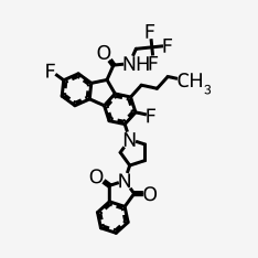 CCCCc1c(F)c(N2CCC(N3C(=O)c4ccccc4C3=O)C2)cc2c1C(C(=O)NCC(F)(F)F)c1cc(F)ccc1-2